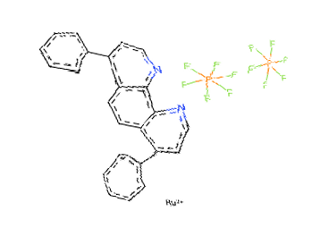 F[P-](F)(F)(F)(F)F.F[P-](F)(F)(F)(F)F.[Ru+2].c1ccc(-c2ccnc3c2ccc2c(-c4ccccc4)ccnc23)cc1